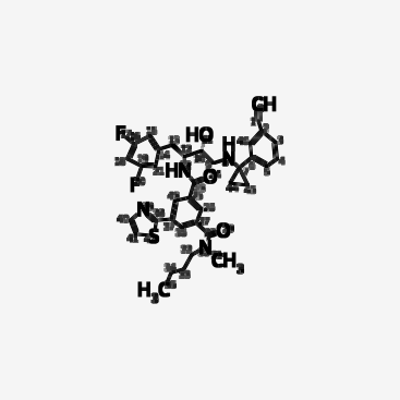 C#Cc1cccc(C2(NC[C@@H](O)[C@H](Cc3cc(F)cc(F)c3)NC(=O)c3cc(C(=O)N(C)CCCC)cc(-c4nccs4)c3)CC2)c1